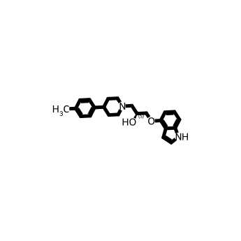 Cc1ccc(C2CCN(C[C@H](O)COc3cccc4[nH]ccc34)CC2)cc1